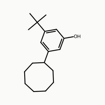 CC(C)(C)c1cc(O)cc(C2CCCCCCC2)c1